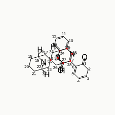 O=C1CC=CC=C1c1nc2ccccc2n([C@H]2C[C@H]3CCC[C@@H](C2)N3[C@H]2C[C@@H]3CCC[C@@H](C3)C2)c1=O